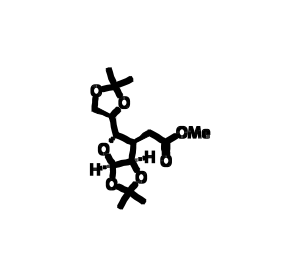 COC(=O)C[C@H]1[C@H]2OC(C)(C)O[C@H]2O[C@@H]1[C@H]1COC(C)(C)O1